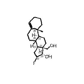 C[C@]12CCCC=C1CC[C@H]1[C@@H]3C[C@H](F)[C@@H](O)[C@@]3(CO)CC[C@@H]12